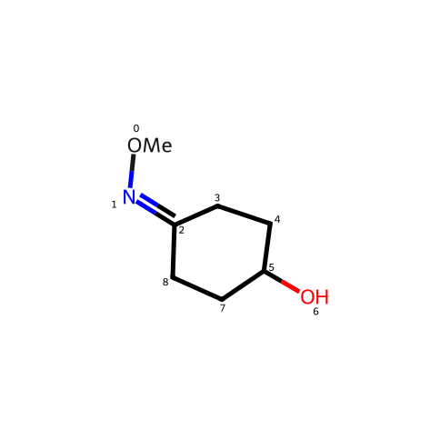 CON=C1CCC(O)CC1